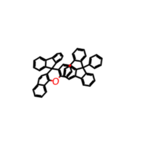 c1ccc(C2(c3ccccc3-c3ccc4c(c3)C3(c5ccccc5-c5ccccc53)c3ccc5ccccc5c3O4)c3ccccc3-c3ccccc32)cc1